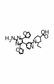 CCC1CC(C(=O)O)CCN1c1cc(-c2c(-c3ccco3)nc(N)nc2-c2ccco2)ccn1